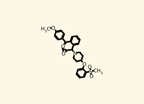 COc1ccc(C(=O)c2ccccc2C(C2CO2)N2CCC(Oc3ccccc3S(C)(=O)=O)CC2)cc1